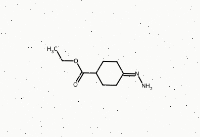 CCOC(=O)C1CCC(=NN)CC1